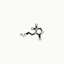 C=CCN1C(=O)OCS1(=O)=O